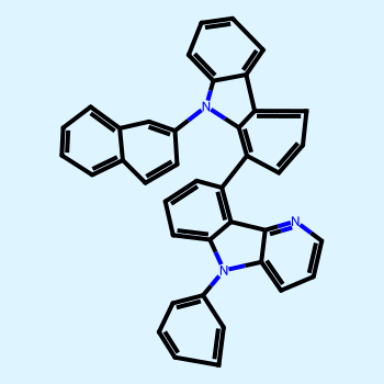 c1ccc(-n2c3cccnc3c3c(-c4cccc5c6ccccc6n(-c6ccc7ccccc7c6)c45)cccc32)cc1